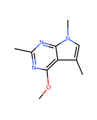 COc1nc(C)nc2c1c(C)cn2C